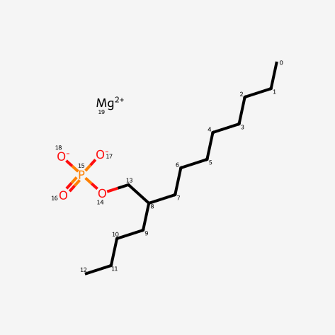 CCCCCCCCC(CCCC)COP(=O)([O-])[O-].[Mg+2]